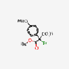 CCC(C)OC(=O)C(Br)(C(=O)O)c1ccc(OC)cc1